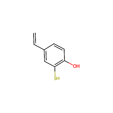 C=Cc1ccc(O)c(S)c1